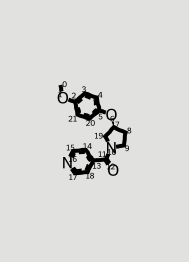 COc1ccc(O[C@@H]2CCN(C(=O)c3ccncc3)C2)cc1